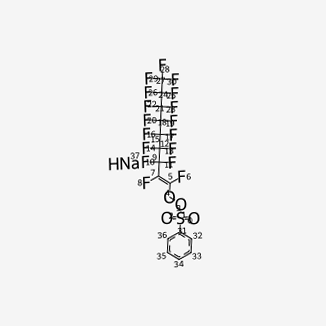 O=S(=O)(OOC(F)=C(F)C(F)(F)C(F)(F)C(F)(F)C(F)(F)C(F)(F)C(F)(F)C(F)(F)F)c1ccccc1.[NaH]